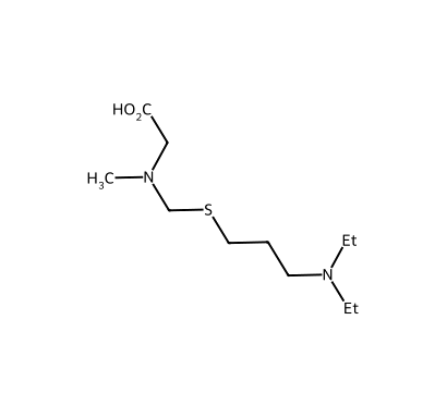 CCN(CC)CCCSCN(C)CC(=O)O